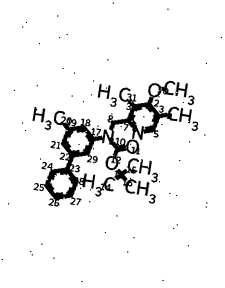 COc1c(C)cnc(CN(C(=O)OC(C)(C)C)c2cc(C)cc(-c3ccccc3)c2)c1C